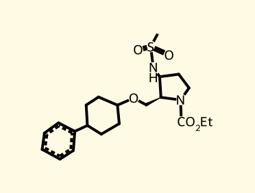 CCOC(=O)N1CCC(NS(C)(=O)=O)[C@@H]1COC1CCC(c2ccccc2)CC1